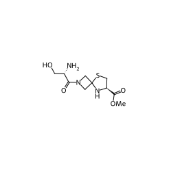 COC(=O)[C@@H]1CSC2(CN(C(=O)[C@@H](N)CO)C2)N1